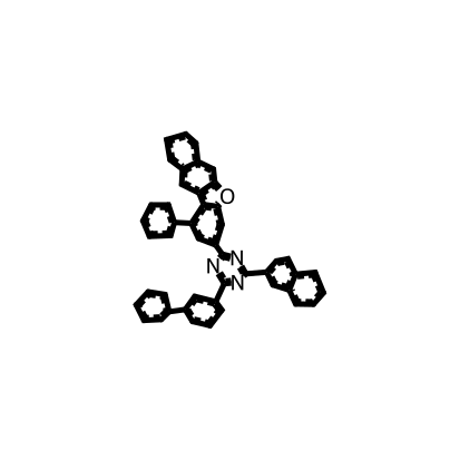 c1ccc(-c2cccc(-c3nc(-c4ccc5ccccc5c4)nc(-c4cc(-c5ccccc5)c5c(c4)oc4cc6ccccc6cc45)n3)c2)cc1